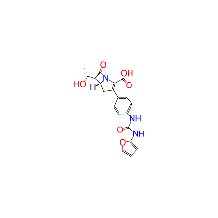 C[C@@H](O)[C@H]1C(=O)N2C(C(=O)O)=C(c3ccc(NC(=O)Nc4ccco4)cc3)C[C@H]12